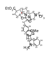 CCOC(=O)C1CCC(OC(C(=O)Cc2ccc(NC(=O)c3cn(C)c4ccccc34)c(OC)c2)(N2CCCC2)N2CCN(CC(F)(F)F)CC2)CC1